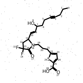 CCCC#CCCC(O)/C=C/C1CC(F)(F)C(=O)N1CCCc1ccc(C(=O)O)s1